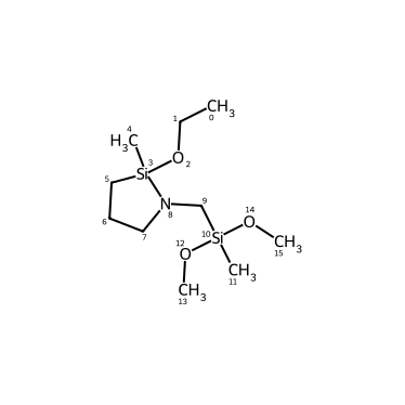 CCO[Si]1(C)CCCN1C[Si](C)(OC)OC